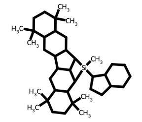 CC1(C)CCC(C)(C)C2CC3C(CC21)C1CC2C(C4C1C3[Si]4(C)C1CCC3CCCCC31)C(C)(C)CCC2(C)C